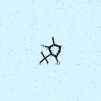 Cc1ccc(Cl)c(C(C)(C)C)c1F